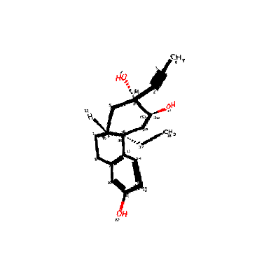 CC#C[C@]1(O)C[C@H]2CCc3cc(O)ccc3[C@]2(CC)C[C@@H]1O